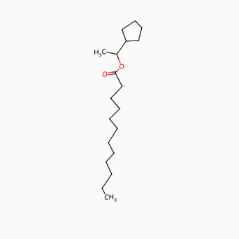 CCCCCCCCCC[CH]C(=O)OC(C)C1CCCC1